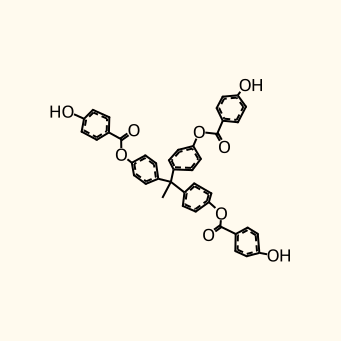 CC(c1ccc(OC(=O)c2ccc(O)cc2)cc1)(c1ccc(OC(=O)c2ccc(O)cc2)cc1)c1ccc(OC(=O)c2ccc(O)cc2)cc1